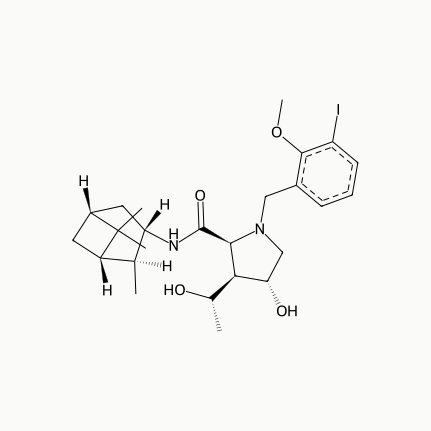 COc1c(I)cccc1CN1C[C@H](O)[C@@H]([C@H](C)O)[C@H]1C(=O)N[C@H]1C[C@H]2C[C@@H]([C@@H]1C)C2(C)C